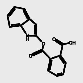 O=C(O)c1ccccc1C(=O)Oc1cc2ccccc2[nH]1